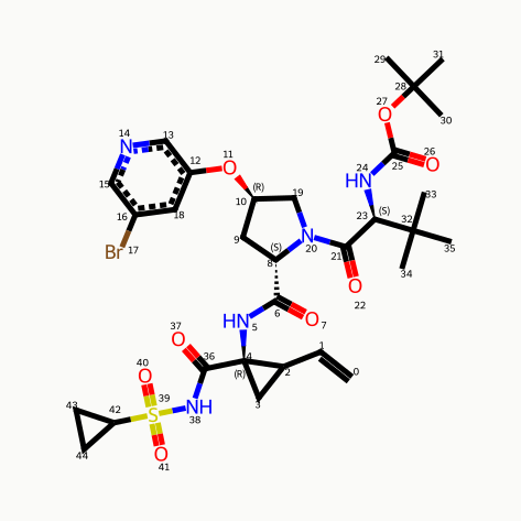 C=CC1C[C@]1(NC(=O)[C@@H]1C[C@@H](Oc2cncc(Br)c2)CN1C(=O)[C@@H](NC(=O)OC(C)(C)C)C(C)(C)C)C(=O)NS(=O)(=O)C1CC1